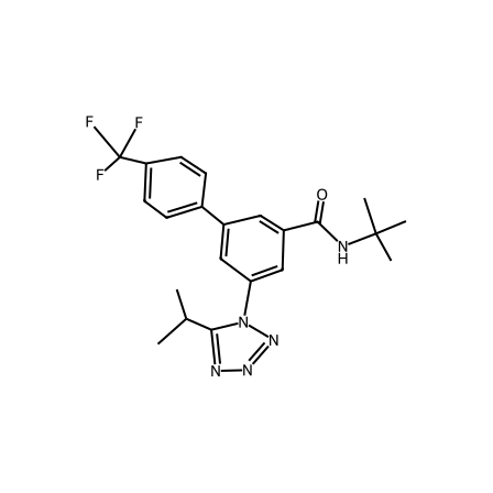 CC(C)c1nnnn1-c1cc(C(=O)NC(C)(C)C)cc(-c2ccc(C(F)(F)F)cc2)c1